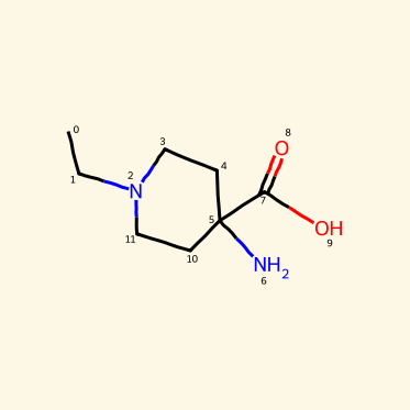 CCN1CCC(N)(C(=O)O)CC1